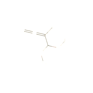 C=C=C(C)C(OCC)OCC